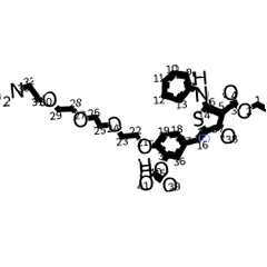 CCOC(=O)C1=C(Nc2ccccc2)S/C(=C\c2ccc(OCCOCCOCCOCCN)c(O)c2)C1=O.O=CO